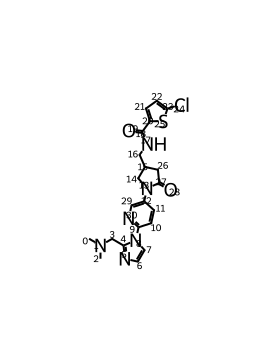 CN(C)Cc1nccn1-c1ccc(N2CC(CNC(=O)c3ccc(Cl)s3)CC2=O)cn1